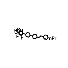 CCCCOc1ccc(C2CCC(C3CCC(/C=C/C4C=CC(CCC)CC4)CC3)CC2)c(F)c1F